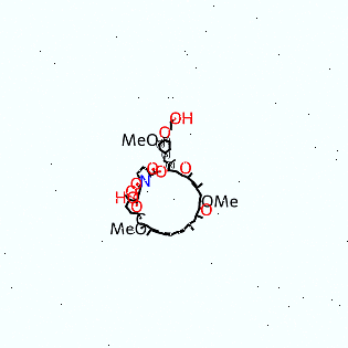 COC1CC(C)=CC(C)C(=O)CC([C@H](C)C[C@@H]2CC[C@@H](OCCO)[C@H](OC)C2)OC(=O)C2CCCCN2C(=O)C(=O)C2(O)OC(CCC2C)CC(OC)C(C)=CC=CC=CC(C)CC(C)C1=O